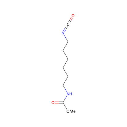 COC(=O)NCCCCCCN=C=O